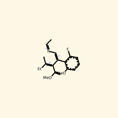 C=C(OC)C(=C(/C)CC)/C(=C\N=C/C)c1c(F)cccc1OC